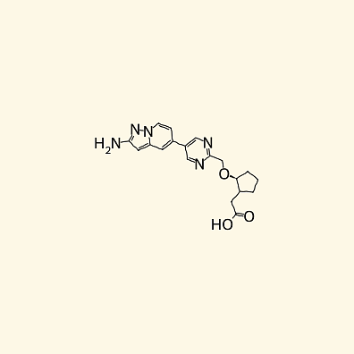 Nc1cc2cc(-c3cnc(CO[C@H]4CCCC4CC(=O)O)nc3)ccn2n1